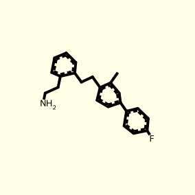 Cc1cc(-c2ccc(F)cc2)ccc1CCc1ccccc1CCN